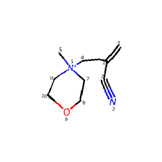 C=C(C#N)C[N+]1(C)CCOCC1